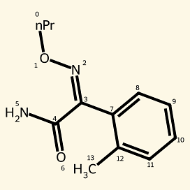 CCCO/N=C(\C(N)=O)c1ccccc1C